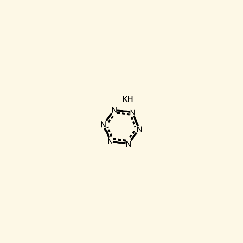 [KH].n1nnnnn1